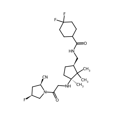 CC1(C)[C@H](CNC(=O)C2CCC(F)(F)CC2)CC[C@]1(C)NCC(=O)N1C[C@@H](F)C[C@H]1C#N